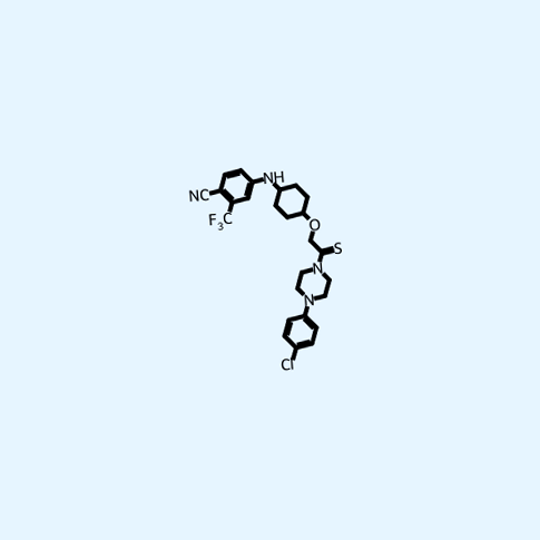 N#Cc1ccc(NC2CCC(OCC(=S)N3CCN(c4ccc(Cl)cc4)CC3)CC2)cc1C(F)(F)F